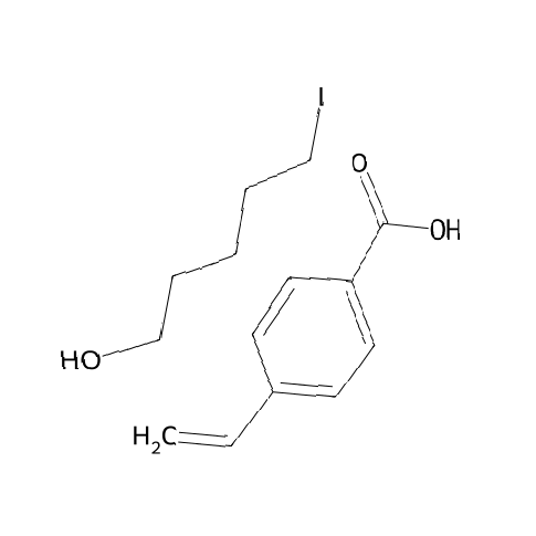 C=Cc1ccc(C(=O)O)cc1.OCCCCCI